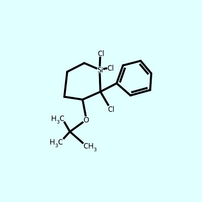 CC(C)(C)OC1CCC[Si](Cl)(Cl)C1(Cl)c1ccccc1